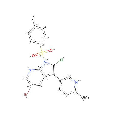 COc1ccc(-c2c(Cl)n(S(=O)(=O)c3ccc(C)cc3)c3ncc(Br)cc23)cn1